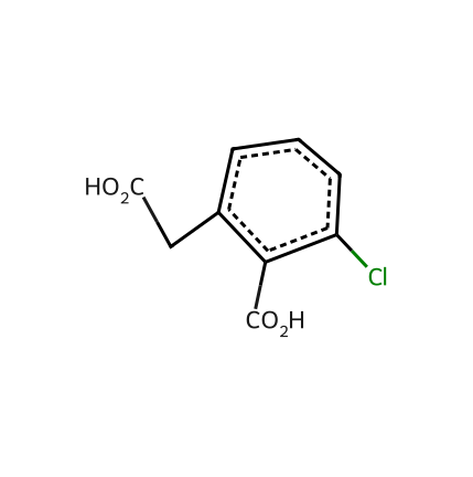 O=C(O)Cc1cccc(Cl)c1C(=O)O